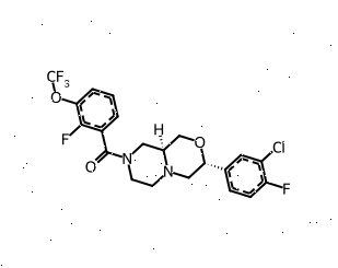 O=C(c1cccc(OC(F)(F)F)c1F)N1CCN2C[C@@H](c3ccc(F)c(Cl)c3)OC[C@@H]2C1